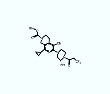 CCC[C@@H]1CN(c2nc(C3CC3)c3c(c2C#N)CCN(C(=O)OC(C)(C)C)C3)CCN1C(=O)CC(F)(F)F